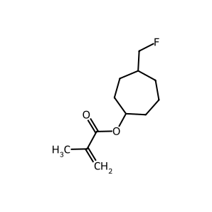 C=C(C)C(=O)OC1CCCC(CF)CC1